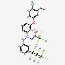 CCc1cc(Oc2cccc(N(Cc3cccc(C(F)(F)C(F)(F)C(F)(F)F)c3)CC(O)C(F)(F)F)c2)ccc1Cl